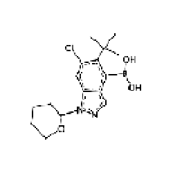 CC(C)(C)c1c(Cl)cc2c(cnn2C2CCCCO2)c1B(O)O